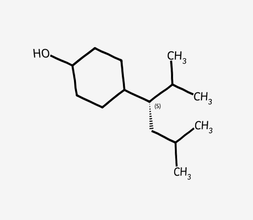 CC(C)C[C@@H](C(C)C)C1CCC(O)CC1